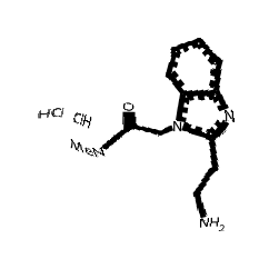 CNC(=O)Cn1c(CCN)nc2ccccc21.Cl.Cl